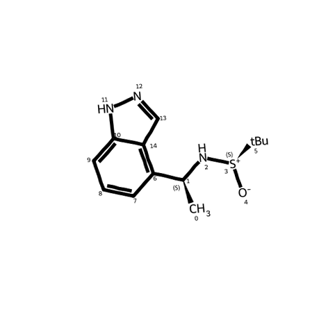 C[C@H](N[S@+]([O-])C(C)(C)C)c1cccc2[nH]ncc12